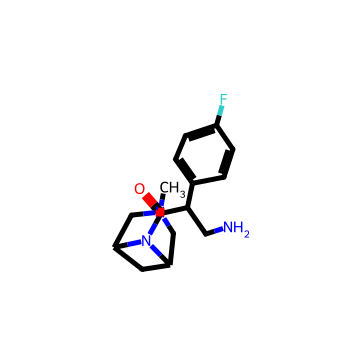 CN1CC2CC(C1)N2C(=O)C(CN)c1ccc(F)cc1